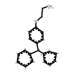 CCCOc1ccc([C](c2ccccc2)c2ccccc2)cc1